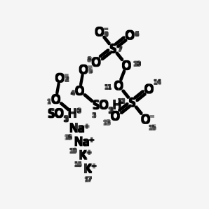 O=S(=O)(O)O[O-].O=S(=O)(O)O[O-].O=S(=O)([O-])OOS(=O)(=O)[O-].[K+].[K+].[Na+].[Na+]